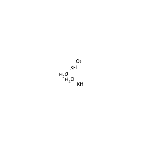 O.O.[KH].[KH].[Os]